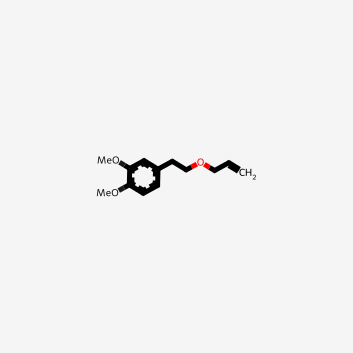 C=CCOCCc1ccc(OC)c(OC)c1